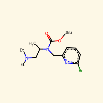 CCN(CC)CC(C)N(Cc1cccc(Br)n1)C(=O)OC(C)(C)C